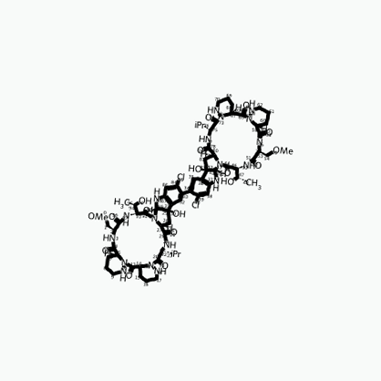 COC[C@@H]1NC(=O)[C@H]2CCCNN2C(=O)C2CCCNN2C(=O)[C@@H](C(C)C)NC(=O)[C@@H]2C[C@@]3(O)c4cc(-c5cc6c(cc5Cl)N[C@H]5N7C(=O)[C@@H]([C@H](C)O)NC(=O)[C@H](COC)NC(=O)[C@H]8CCCNN8C(=O)[C@@H]8CCCNN8C(=O)[C@@H](C(C)C)NC(=O)[C@@H]7C[C@@]65O)c(Cl)cc4N[C@H]3N2C(=O)[C@@H]([C@H](C)O)NC1=O